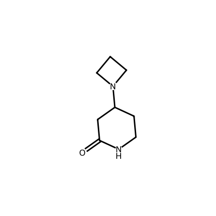 O=C1CC(N2CCC2)CCN1